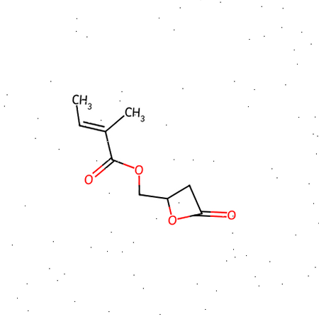 C/C=C(\C)C(=O)OCC1CC(=O)O1